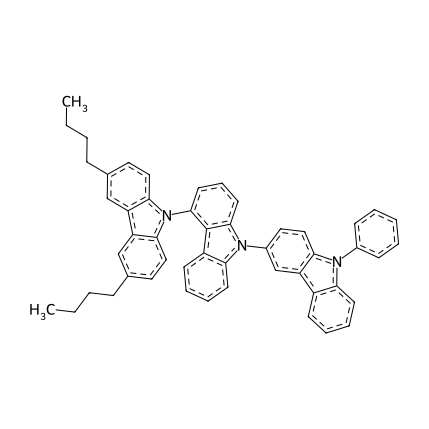 CCCCc1ccc2c(c1)c1cc(CCCC)ccc1n2-c1cccc2c1c1ccccc1n2-c1ccc2c(c1)c1ccccc1n2-c1ccccc1